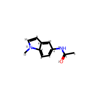 CC(=O)Nc1ccc2c(c[c]n2C)c1